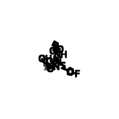 C[C@@H](Oc1cc(CNS(=O)(=O)N2CCC2)nc(SCc2ccc(F)cc2)n1)[C@@H](O)CO